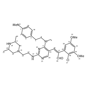 CNc1ccc(CCN(C)c2nc(NCCN3CC(C)NC(C)C3)ncc2/C=C(\C=O)c2cc(OC)cc(OC)c2Cl)cc1